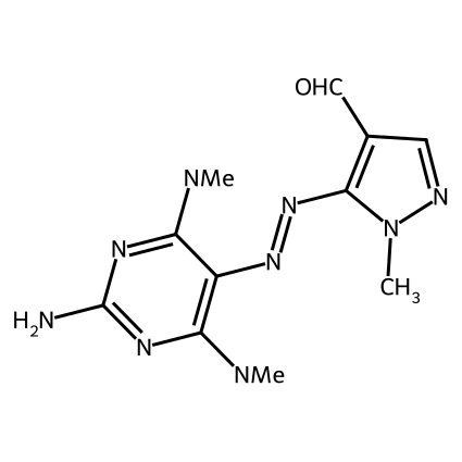 CNc1nc(N)nc(NC)c1/N=N/c1c(C=O)cnn1C